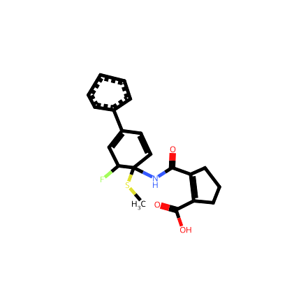 CSC1(NC(=O)C2=C(C(=O)O)CCC2)C=CC(c2ccccc2)=CC1F